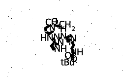 C=CC(=O)N1C[C@H](Nc2nc(Nc3cnn(CCNC(=O)OC(C)(C)C)c3)nc3[nH]ccc23)CC[C@@H]1C